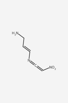 NCC=CN=C=C[N+](=O)[O-]